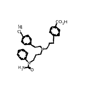 I.NC(=O)N(CCCN(CCCc1ccc(C(=O)O)cc1)CCc1ccc(Cl)cc1)c1ccccc1